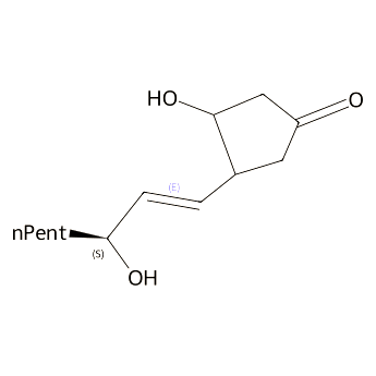 CCCCC[C@H](O)/C=C/C1CC(=O)CC1O